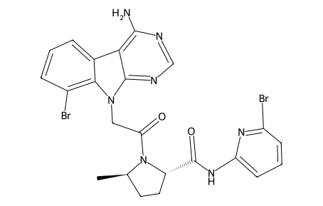 C[C@@H]1CC[C@@H](C(=O)Nc2cccc(Br)n2)N1C(=O)Cn1c2ncnc(N)c2c2cccc(Br)c21